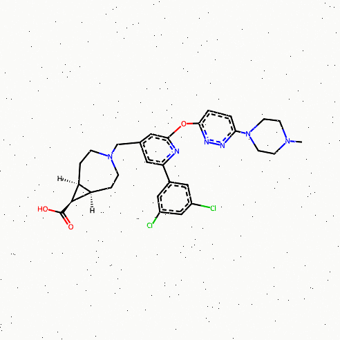 CN1CCN(c2ccc(Oc3cc(CN4CC[C@@H]5[C@H](CC4)[C@@H]5C(=O)O)cc(-c4cc(Cl)cc(Cl)c4)n3)nn2)CC1